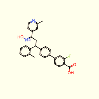 Cc1cc(/C(CC(c2ccc(-c3ccc(C(=O)O)c(F)c3)cc2)c2ccccc2C)=N\O)ccn1